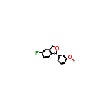 COc1cccc(B2OCc3cc(F)ccc32)c1